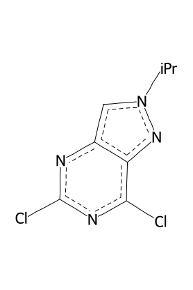 CC(C)n1cc2nc(Cl)nc(Cl)c2n1